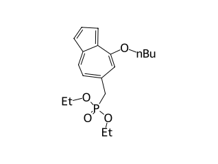 CCCCOc1cc(CP(=O)(OCC)OCC)ccc2cccc1-2